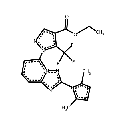 CCOC(=O)c1cnn(-c2cccc3nc(-n4c(C)ccc4C)nn23)c1C(F)(F)F